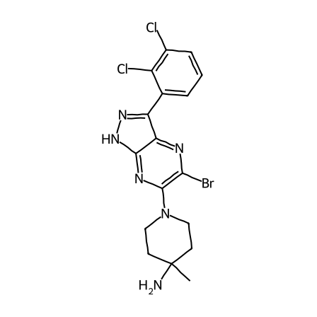 CC1(N)CCN(c2nc3[nH]nc(-c4cccc(Cl)c4Cl)c3nc2Br)CC1